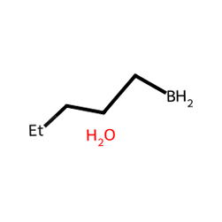 BCCCCC.O